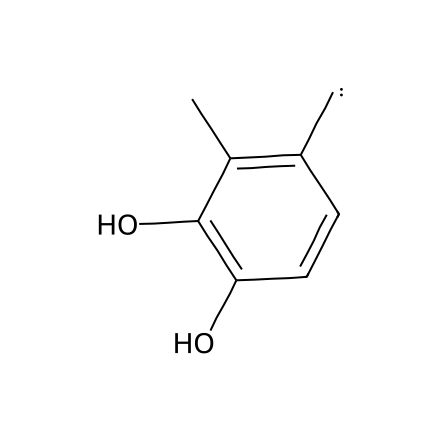 [CH]c1ccc(O)c(O)c1C